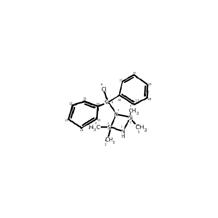 C[Si]1(C)N[Si](C)(C)N1[Si](Cl)(c1ccccc1)c1ccccc1